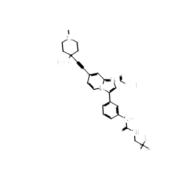 CN1CCC(O)(C#Cc2ccn3c(-c4cccc(NC(=O)NCC(F)(F)F)c4)cnc3c2)CC1.O=CO